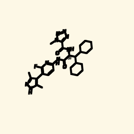 Cc1n[nH]c(C)c1-c1ccc(NC(=O)[C@@H](NC(=O)c2nnnn2C)C(C2CCCCC2)C2CCCCC2)nc1F